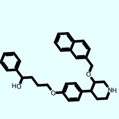 OC(CCCOc1ccc(C2CCNCC2OCc2ccc3ccccc3c2)cc1)c1ccccc1